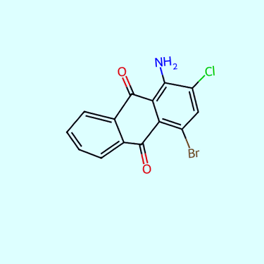 Nc1c(Cl)cc(Br)c2c1C(=O)c1ccccc1C2=O